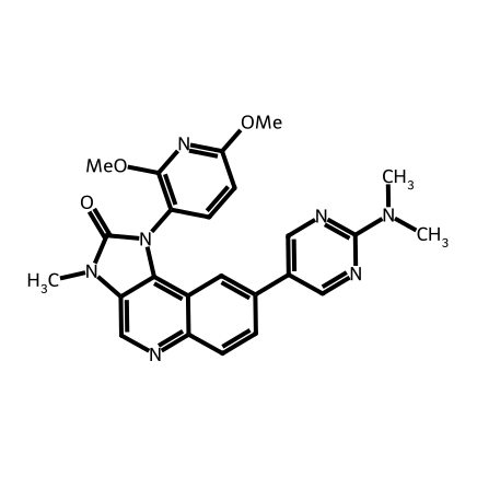 COc1ccc(-n2c(=O)n(C)c3cnc4ccc(-c5cnc(N(C)C)nc5)cc4c32)c(OC)n1